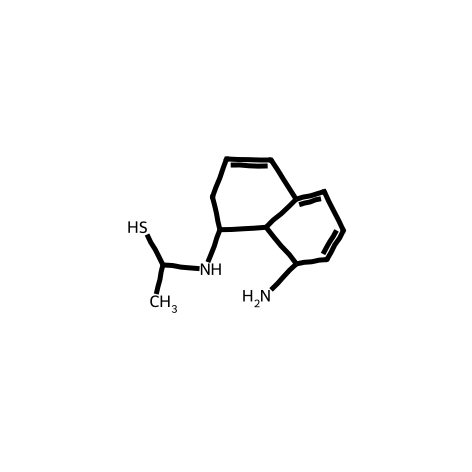 CC(S)NC1CC=CC2=CC=CC(N)C21